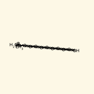 C=C(C)C(=O)OCCCCOCCCCOCCCCOCCCCOCCCCOCCCCOCCCCOCCCCOCCCCOCCCCO